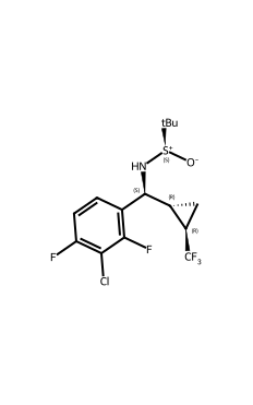 CC(C)(C)[S@@+]([O-])N[C@H](c1ccc(F)c(Cl)c1F)[C@@H]1C[C@H]1C(F)(F)F